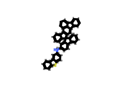 c1ccc2c(c1)-c1cccc3c4c(cc-2c13)C1(c2ccccc2-c2ccc(Nc3ccc5sc6ccccc6c5c3)cc21)c1ccccc1-4